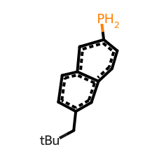 CC(C)(C)Cc1ccc2cc(P)ccc2c1